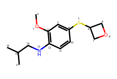 COc1cc(SC2COC2)ccc1NCC(C)C